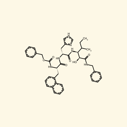 CCC(C)[C@H](NC(=O)[C@@H](Cc1c[nH]cn1)NC(=O)[C@H](Cc1cccc2ccccc12)NC(=O)OCc1ccccc1)[C@H](O)C(=O)NCc1ccccc1